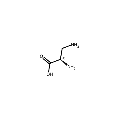 NC[C@@H](N)C(=O)O